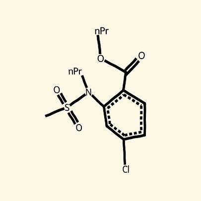 CCCOC(=O)c1ccc(Cl)cc1N(CCC)S(C)(=O)=O